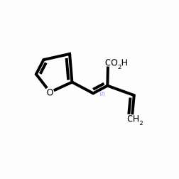 C=C/C(=C/c1ccco1)C(=O)O